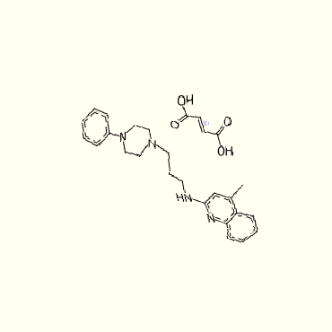 Cc1cc(NCCCN2CCN(c3ccccc3)CC2)nc2ccccc12.O=C(O)/C=C/C(=O)O